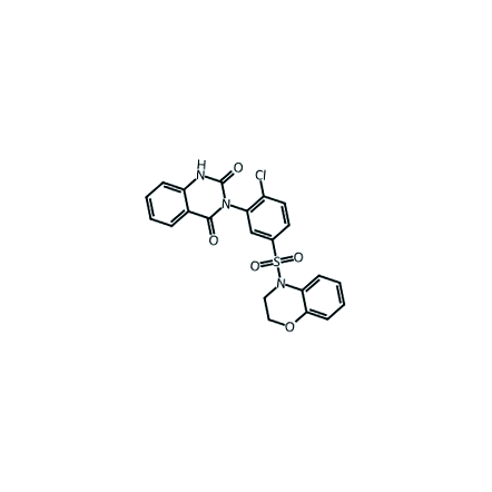 O=c1[nH]c2ccccc2c(=O)n1-c1cc(S(=O)(=O)N2CCOc3ccccc32)ccc1Cl